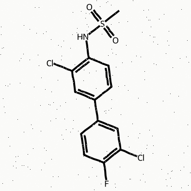 CS(=O)(=O)Nc1ccc(-c2ccc(F)c(Cl)c2)cc1Cl